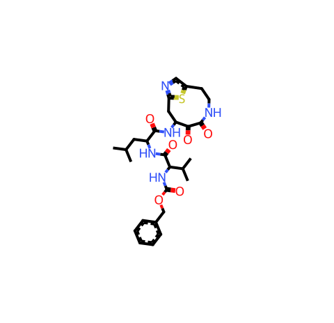 CC(C)CC(NC(=O)C(NC(=O)OCc1ccccc1)C(C)C)C(=O)NC1Cc2ncc(s2)CCNC(=O)C1=O